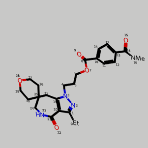 CCc1nn(CCCOC(=O)c2ccc(C(=O)NC)cc2)c2c1C(=O)NCC1(CCOCC1)C2